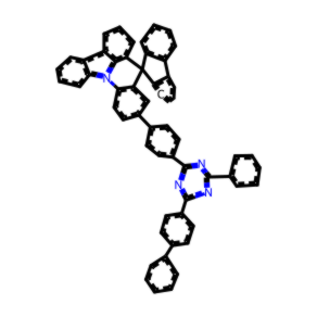 c1ccc(-c2ccc(-c3nc(-c4ccccc4)nc(-c4ccc(-c5ccc6c(c5)C5(c7ccccc7-c7ccccc75)c5cccc7c8ccccc8n-6c57)cc4)n3)cc2)cc1